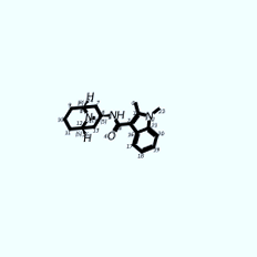 Cc1c(C(=O)N[C@@H]2C[C@H]3CCC[C@@H](C2)N3C)c2ccccc2n1C